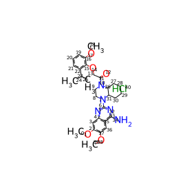 COc1cc2nc(N3CCN(C(=O)COc4c(OC)cccc4C(C)C)C4CCCCC43)nc(N)c2cc1OC.Cl